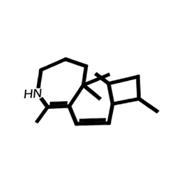 CC1=C(/C=C\C2C(C)CC2C)C(C)(C)CCCN1